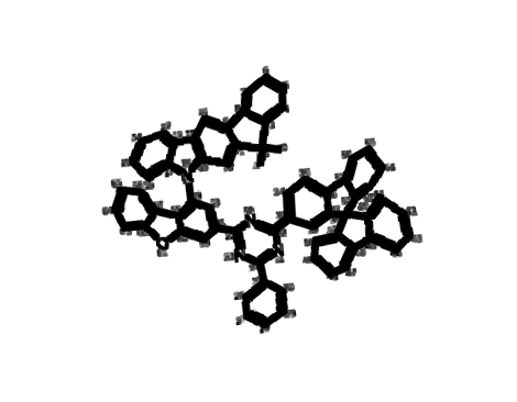 CC1(C)c2ccccc2-c2cc3c4ccccc4n(-c4cc(-c5nc(-c6ccccc6)nc(-c6ccc7c(c6)C6(c8ccccc8-c8ccccc86)c6ccccc6-7)n5)cc5oc6ccccc6c45)c3cc21